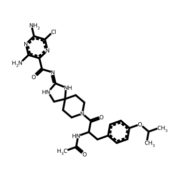 CC(=O)NC(Cc1ccc(OC(C)C)cc1)C(=O)N1CCC2(CC1)CN/C(=N\C(=O)c1nc(Cl)c(N)nc1N)N2